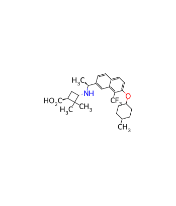 CC1CCC(Oc2ccc3ccc([C@H](C)N[C@H]4C[C@H](C(=O)O)C4(C)C)cc3c2C(F)(F)F)CC1